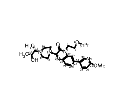 CCCOCCn1c(=O)c(N2CCN([C@@H](C)[C@@H](C)O)CC2)nc2cnc(-c3ccc(OC)nc3)cc21